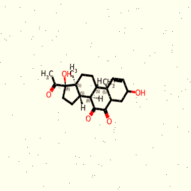 CC(=O)[C@@]1(O)CC[C@H]2[C@@H]3C(=O)C(=O)C4CC(O)C=C[C@]4(C)[C@H]3CC[C@@]21C